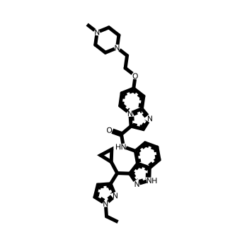 CCn1ccc(C(c2n[nH]c3cccc(NC(=O)c4cnc5cc(OCCN6CCN(C)CC6)ccn45)c23)C2CC2)n1